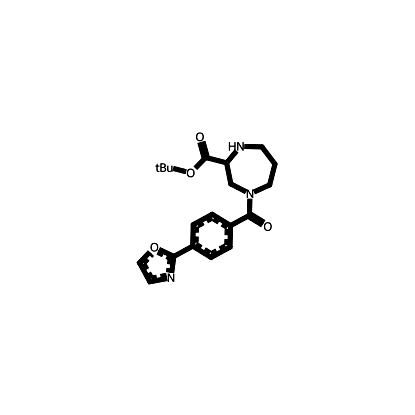 CC(C)(C)OC(=O)C1CN(C(=O)c2ccc(-c3ncco3)cc2)CCCN1